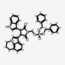 O=C1C(c2c[nH]c3ccccc23)C(c2cn3c4c(cccc24)CCC3)C(=O)N1COP(=O)(OCc1ccccc1)OCc1ccccc1